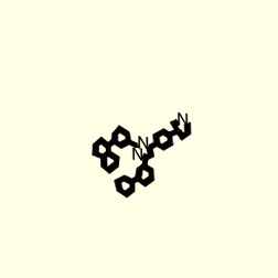 c1ccc(-c2cccc(-c3cc(-c4ccc(-c5cccnc5)cc4)nc(-c4cccc(-c5cccc6ccccc56)c4)n3)c2)cc1